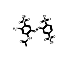 CC(=O)Nc1cc(N)c(S(=O)(=O)O)cc1/N=N/c1cc(S(=O)(=O)O)ccc1S(=O)(=O)O